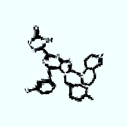 CC1CCC(Cn2c(N3CCCC4COCCC43)nc3nc(-c4noc(=O)[nH]4)nc(-c4cccc(Cl)c4)c32)CC1